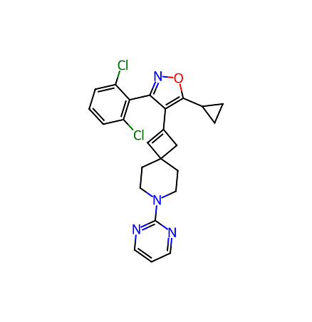 Clc1cccc(Cl)c1-c1noc(C2CC2)c1C1=CC2(CCN(c3ncccn3)CC2)C1